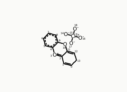 C1=CC2=[O+]c3ccccc3OC2=CC1.[O-][Cl+3]([O-])([O-])[O-]